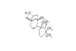 C[C@@H]1C[C@@]2(C)C[C@@H]1CC[C@@H]2[C@@]1(C)CCCC(C)(C)[C@@H]1C